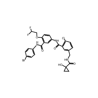 O=C(Nc1ccc(OCC(F)F)c(C(=O)Nc2ccc(Br)cc2)c1)c1cc(CNC(=O)C2(O)CC2)ccc1Cl